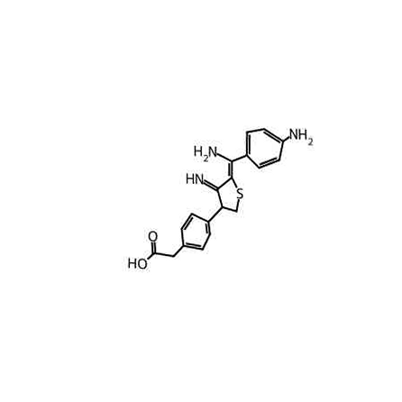 N=C1/C(=C(\N)c2ccc(N)cc2)SCC1c1ccc(CC(=O)O)cc1